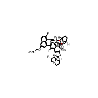 [2H]C([2H])(Oc1nc(N2C[C@H]3CC[C@@H](C2)N3C(=O)OC(C)(C)C)c2c(Cl)nc(-c3cc(OCOC)cc4ccc(F)c(C#C[Si](C(C)C)(C(C)C)C(C)C)c34)c(F)c2n1)[C@@]12CCCN1C[C@H](F)C2